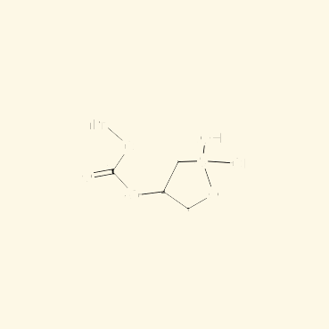 CC(C)OC(=O)OC1COS(O)(O)C1